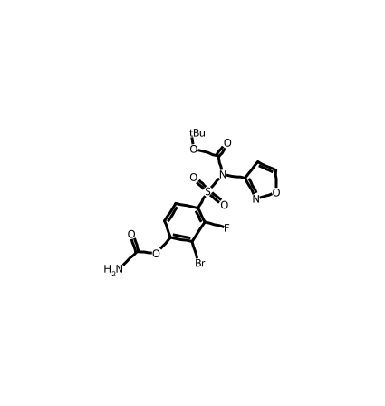 CC(C)(C)OC(=O)N(c1ccon1)S(=O)(=O)c1ccc(OC(N)=O)c(Br)c1F